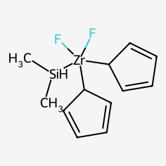 C[SiH](C)[Zr]([F])([F])([CH]1C=CC=C1)[CH]1C=CC=C1